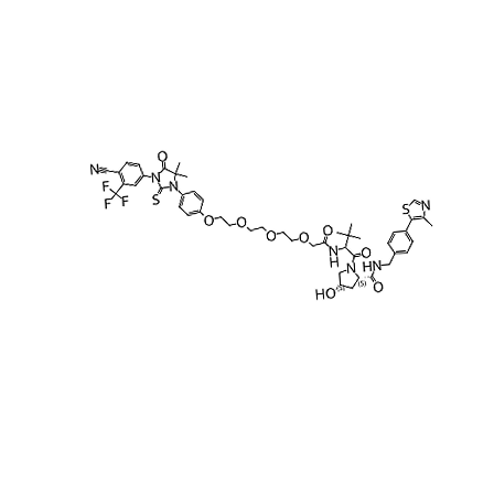 Cc1ncsc1-c1ccc(CNC(=O)[C@@H]2C[C@H](O)CN2C(=O)C(NC(=O)COCCOCCOCCOc2ccc(N3C(=S)N(c4ccc(C#N)c(C(F)(F)F)c4)C(=O)C3(C)C)cc2)C(C)(C)C)cc1